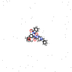 CC(C)(C)[Si](C)(C)Oc1ccc(N2C(=O)c3ccccc3C2=O)c(NC(=O)C2CCN(Cc3ccccc3)CC2)c1